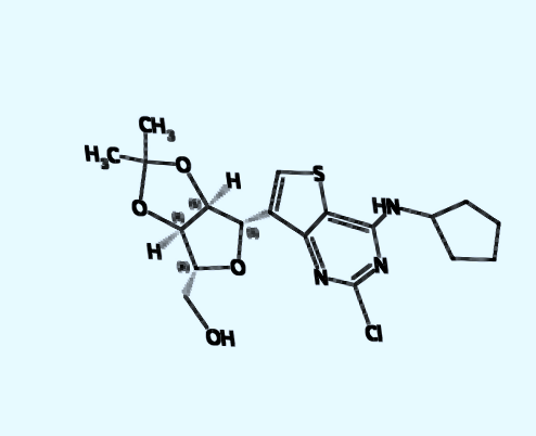 CC1(C)O[C@@H]2[C@H](O1)[C@@H](CO)O[C@H]2c1csc2c(NC3CCCC3)nc(Cl)nc12